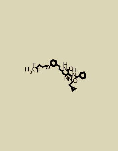 CC(F)(F)CCCOc1cccc(CCC2Cc3nn(CCC4CC4)c(NC(=O)c4ccccc4)c3C(=O)N2)c1